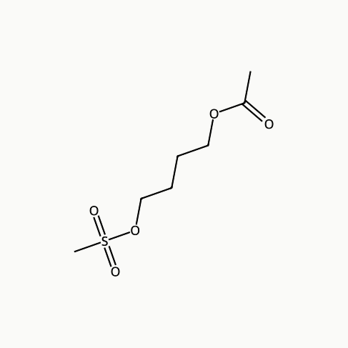 CC(=O)OCCCCOS(C)(=O)=O